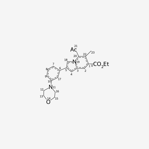 CCOC(=O)c1cc2cc(-c3cccc(N4CCOCC4)c3)cn2c(C(C)=O)c1C